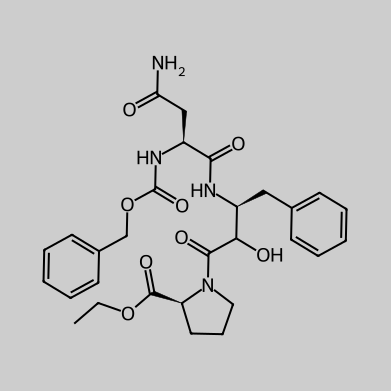 CCOC(=O)[C@@H]1CCCN1C(=O)C(O)[C@H](Cc1ccccc1)NC(=O)[C@H](CC(N)=O)NC(=O)OCc1ccccc1